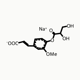 COc1cc(C=CC(=O)[O-])ccc1OC(=O)C(O)CO.[Na+]